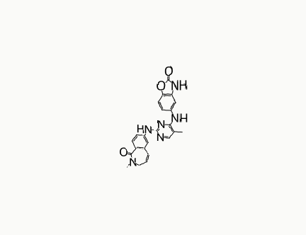 Cc1cnc(Nc2ccc3c(c2)C=CCN(C)C3=O)nc1Nc1ccc2oc(=O)[nH]c2c1